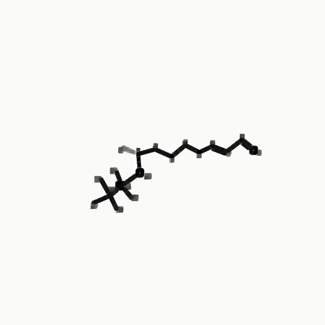 C[C@H](CCCC/C=C/C=O)O[Si](C)(C)C(C)(C)C